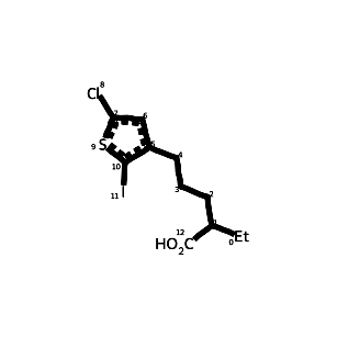 CCC(CCCc1cc(Cl)sc1I)C(=O)O